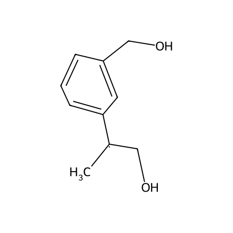 C[C](CO)c1cccc(CO)c1